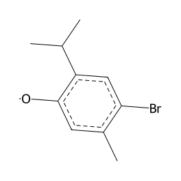 Cc1cc([O])c(C(C)C)cc1Br